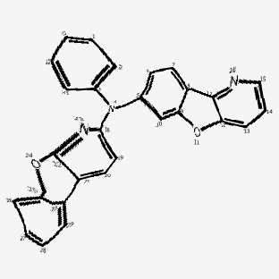 c1ccc(N(c2ccc3c(c2)oc2cccnc23)c2ccc3c(n2)oc2ccccc23)cc1